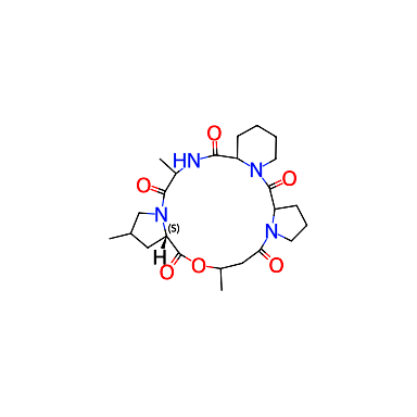 CC1C[C@H]2C(=O)OC(C)CC(=O)N3CCCC3C(=O)N3CCCCC3C(=O)NC(C)C(=O)N2C1